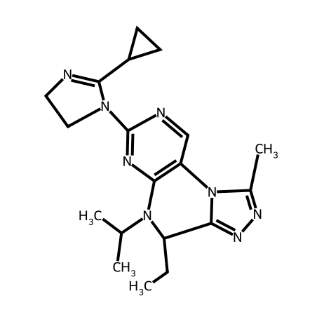 CCC1c2nnc(C)n2-c2cnc(N3CCN=C3C3CC3)nc2N1C(C)C